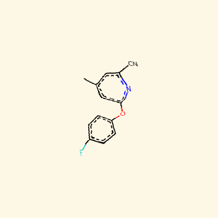 Cc1cc(C#N)nc(Oc2ccc(F)cc2)c1